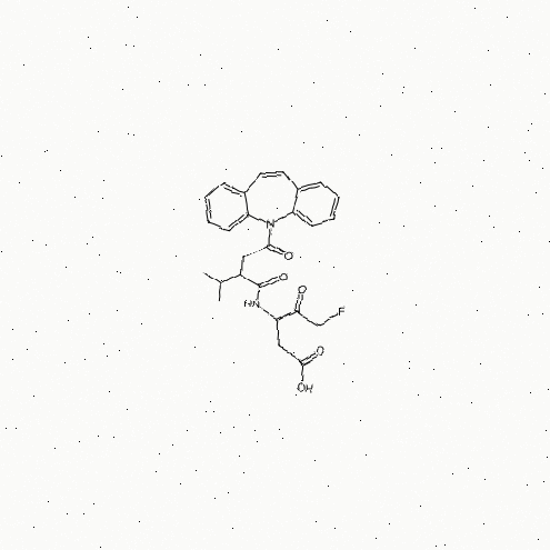 CC(C)C(CC(=O)N1c2ccccc2C=Cc2ccccc21)C(=O)NC(CC(=O)O)C(=O)CF